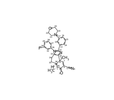 C[C@H]1C(=O)C(C#N)=CC2(C)c3nc(-c4cccc(N5CCOCC5)c4)n(-c4cccc(F)c4)c3CC[C@H]12